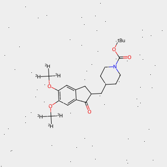 [2H]C([2H])([2H])Oc1cc2c(cc1OC([2H])([2H])[2H])C(=O)C(CC1CCN(C(=O)OC(C)(C)C)CC1)C2